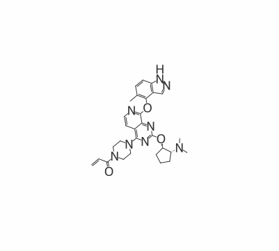 C=CC(=O)N1CCN(c2nc(O[C@@H]3CCC[C@H]3N(C)C)nc3c(Oc4c(C)ccc5[nH]ncc45)nccc23)CC1